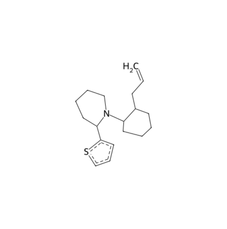 C=CCC1CCCCC1N1CCCCC1c1cccs1